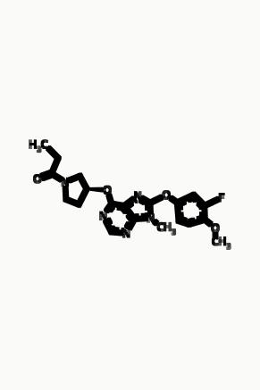 CCC(=O)N1CC[C@H](Oc2ncnc3c2nc(Oc2ccc(OC)c(F)c2)n3C)C1